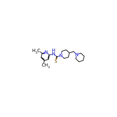 Cc1cc(C)nc(NC(=S)N2CCC(CN3CCCCC3)CC2)c1